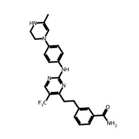 CC1=CN(c2ccc(Nc3ncc(C(F)(F)F)c(CCc4cccc(C(N)=O)c4)n3)cc2)CCN1